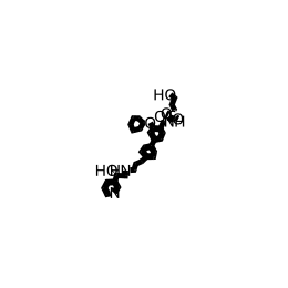 O=C(NS(=O)(=O)CCCO)c1ccc(-c2ccc(CCCNC[C@@H](O)c3cccnc3)cc2)cc1OC1CCCCC1